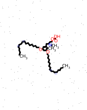 CCCCC/C=C\C/C=C\CCCCCCCCOc1cc(CC(CCOC(=O)O)N(C)C)cc(OCCCCCCCC/C=C\C/C=C\CCCCC)c1